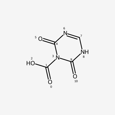 O=C(O)n1c(=O)nc[nH]c1=O